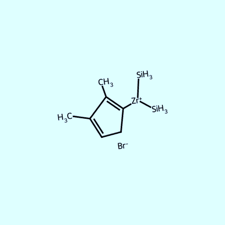 CC1=CC[C]([Zr+]([SiH3])[SiH3])=C1C.[Br-]